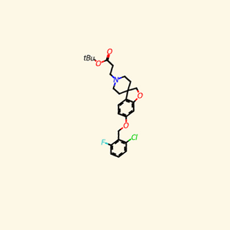 CC(C)(C)OC(=O)CCN1CCC2(CC1)COc1cc(OCc3c(F)cccc3Cl)ccc12